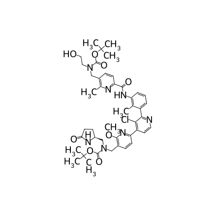 COc1nc(-c2ccnc(-c3cccc(NC(=O)c4ccc(CN(CCO)C(=O)OC(C)(C)C)c(C)n4)c3C)c2Cl)ccc1CN(C[C@@H]1CCC(=O)N1)C(=O)OC(C)(C)C